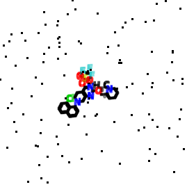 CN1CCCC[C@H]1COc1nc2c(c(OS(=O)(=O)C(F)(F)F)n1)CCN(c1cccc3cccc(Cl)c13)C2